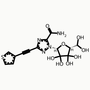 NC(=O)c1nc(C#Cc2ccsc2)nn1[C@@H]1O[C@H](C(O)O)C(O)(O)C1(O)O